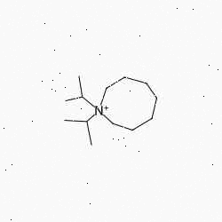 CC(C)[N+]1(C(C)C)CCCCCCC1